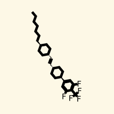 CCCCCCC[C@H]1CC[C@H](C=C[C@H]2CC[C@H](c3cc(F)c(C(F)(F)F)c(F)c3)CC2)CC1